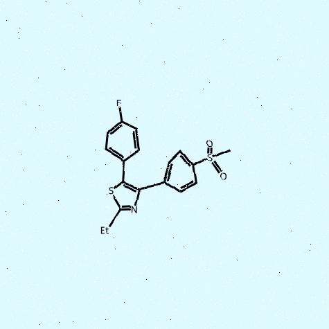 CCc1nc(-c2ccc(S(C)(=O)=O)cc2)c(-c2ccc(F)cc2)s1